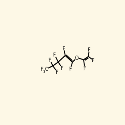 FC(F)=C(F)OC(F)=C(F)C(F)(F)C(F)(F)C(F)(F)F